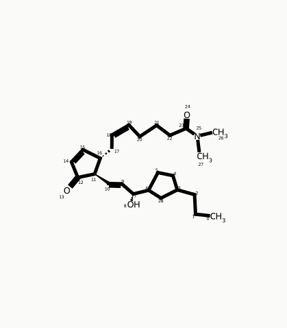 CCCC1CCC([C@H](O)/C=C/[C@H]2C(=O)C=C[C@@H]2C/C=C\CCCC(=O)N(C)C)C1